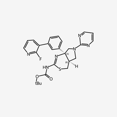 CC(C)(C)OC(=O)NC1=N[C@@]2(c3cccc(-c4cccnc4F)c3)CN(c3ncccn3)C[C@H]2CS1